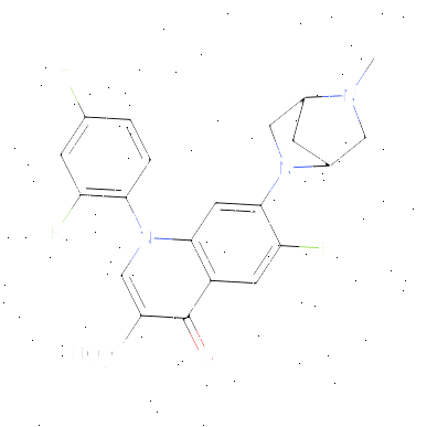 CN1CC2CC1CN2c1cc2c(cc1F)c(=O)c(C(=O)O)cn2-c1ccc(F)cc1F